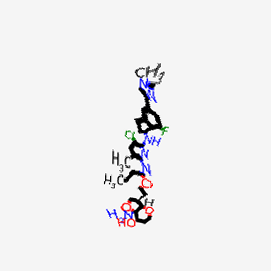 CCC/C(=N\c1nc(NC2CCc3cc(-c4cn(C)cn4)cc(F)c32)c(Cl)cc1C)OCC[C@@H]1CO[C@]2(N)[C@H](O)CCO[C@H]12